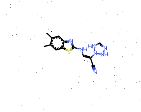 Cc1cc2nc(NC=C(C#N)N3NC=NN3)sc2cc1C